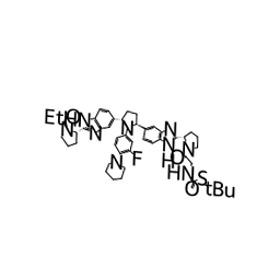 CCC(=O)N1CCC[C@H]1c1nc2cc([C@@H]3CC[C@@H](c4ccc5[nH]c([C@@H]6CCCN6C(=O)CNC(=O)SC(C)(C)C)nc5c4)N3c3ccc(N4CCCCC4)c(F)c3)ccc2[nH]1